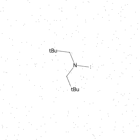 [C]N(CC(C)(C)C)CC(C)(C)C